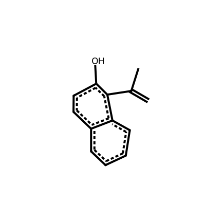 C=C(C)c1c(O)ccc2ccccc12